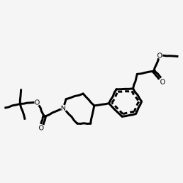 COC(=O)Cc1cccc(C2CCN(C(=O)OC(C)(C)C)CC2)c1